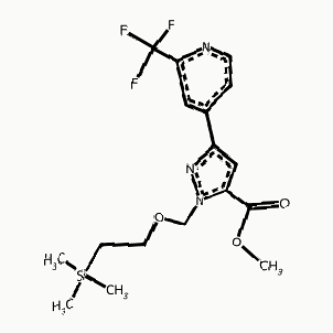 COC(=O)c1cc(-c2ccnc(C(F)(F)F)c2)nn1COCC[Si](C)(C)C